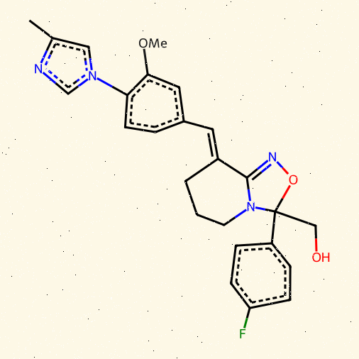 COc1cc(C=C2CCCN3C2=NOC3(CO)c2ccc(F)cc2)ccc1-n1cnc(C)c1